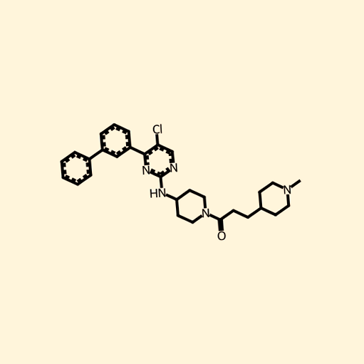 CN1CCC(CCC(=O)N2CCC(Nc3ncc(Cl)c(-c4cccc(-c5ccccc5)c4)n3)CC2)CC1